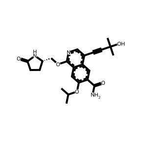 CC(C)Oc1cc2c(OC[C@@H]3CCC(=O)N3)ncc(C#CC(C)(C)O)c2cc1C(N)=O